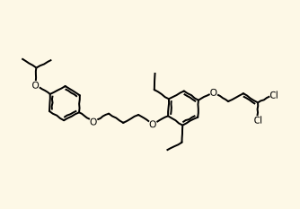 CCc1cc(OCC=C(Cl)Cl)cc(CC)c1OCCCOc1ccc(OC(C)C)cc1